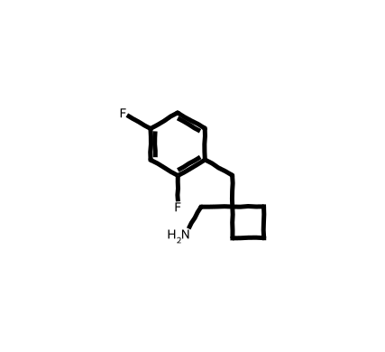 NCC1(Cc2ccc(F)cc2F)CCC1